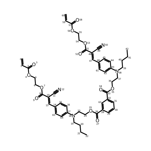 C=CC(=O)OCCOC(=O)/C(C#N)=C/c1ccc(N(CCCC)CCOC(=O)c2cccc(C(=O)OCCN(CCCC)c3ccc(/C=C(\C#N)C(=O)OCCOC(=O)C=C)cc3)c2)cc1